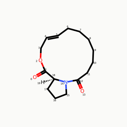 O=C1OC/C=C/CCCCCCC(=O)N2CCC[C@@H]12